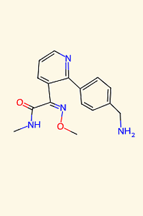 CNC(=O)C(=NOC)c1cccnc1-c1ccc(CN)cc1